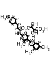 Cc1cc(C)c2nc(-c3cnc(NCCCC4CCN(C)CC4)nc3C)[nH]c2c1.O=C(O)C(O)C(O)C(=O)O